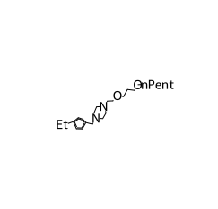 CCCCCOCCCOCCN1CCN(Cc2ccc(CC)cc2)CC1